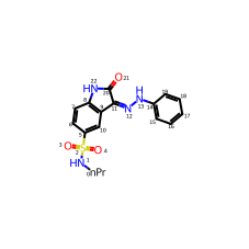 CCCNS(=O)(=O)c1ccc2c(c1)C(=NNc1ccccc1)C(=O)N2